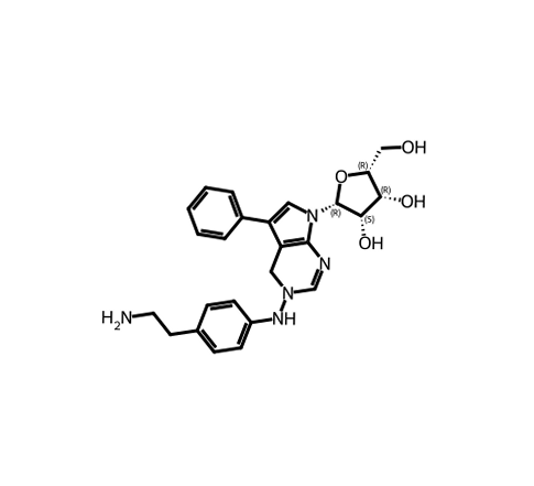 NCCc1ccc(NN2C=Nc3c(c(-c4ccccc4)cn3[C@@H]3O[C@H](CO)[C@H](O)[C@@H]3O)C2)cc1